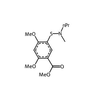 CCCN(C)Sc1cc(C(=O)OC)c(OC)cc1OC